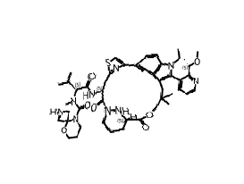 CCn1c(-c2cccnc2[C@H](C)OC)c2c3cc(ccc31)-c1csc(n1)C[C@H](NC(=O)[C@H](C(C)C)N(C)C(=O)N1CCCOC13CNC3)C(=O)N1CCC[C@H](N1)C(=O)OCC(C)(C)C2